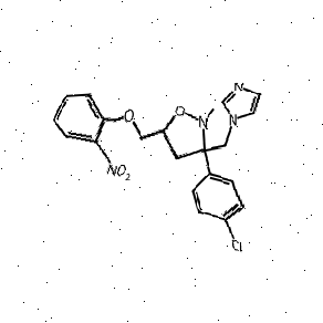 CN1OC(COc2ccccc2[N+](=O)[O-])CC1(Cn1ccnc1)c1ccc(Cl)cc1